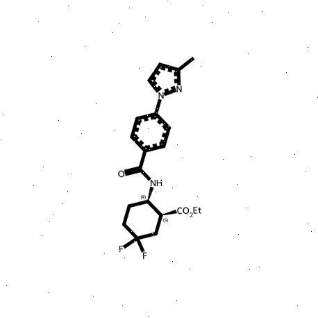 CCOC(=O)[C@H]1CC(F)(F)CC[C@H]1NC(=O)c1ccc(-n2ccc(C)n2)cc1